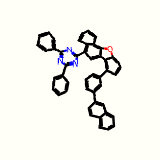 c1ccc(-c2nc(-c3ccccc3)nc(-c3cc4c(oc5cccc(-c6cccc(-c7ccc8ccccc8c7)c6)c54)c4ccccc34)n2)cc1